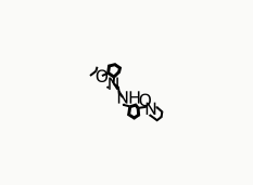 CC(C)Oc1ccccc1N(C)CCNCc1cccc(C(=O)N2CCCCC2)c1